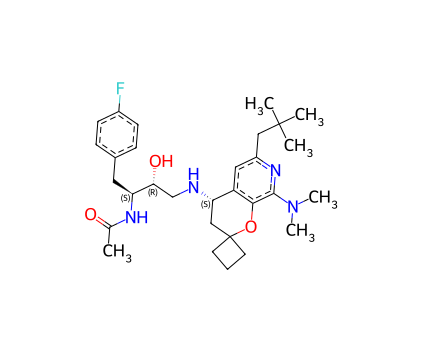 CC(=O)N[C@@H](Cc1ccc(F)cc1)[C@H](O)CN[C@H]1CC2(CCC2)Oc2c1cc(CC(C)(C)C)nc2N(C)C